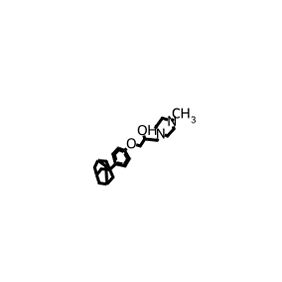 CN1CCN(CC(O)COc2ccc(C34CC5CC(CC(C5)C3)C4)cc2)CC1